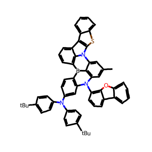 Cc1cc2c3c(c1)-n1c4sc5ccccc5c4c4cccc(c41)B3c1ccc(N(c3ccc(C(C)(C)C)cc3)c3ccc(C(C)(C)C)cc3)cc1N2c1cccc2c1oc1ccccc12